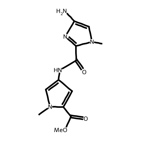 COC(=O)c1cc(NC(=O)c2nc(N)cn2C)cn1C